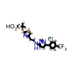 CC(C)(Sc1nc(CCNc2ccc(-c3ccc(C(F)(F)F)cc3Cl)nn2)cs1)C(=O)O